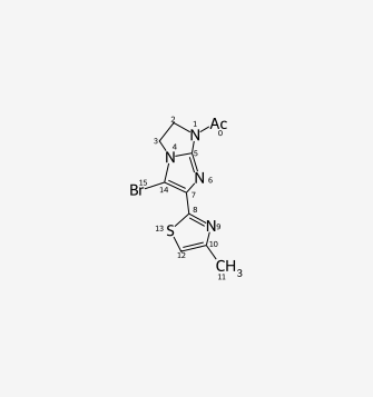 CC(=O)N1CCn2c1nc(-c1nc(C)cs1)c2Br